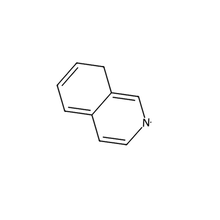 C1=CCC2=C[N]C=CC2=C1